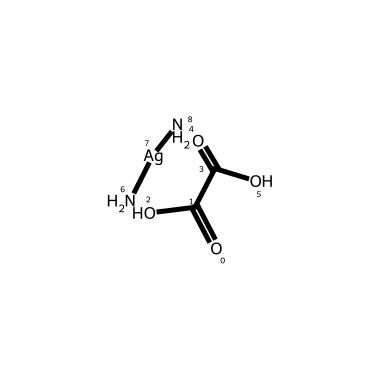 O=C(O)C(=O)O.[NH2][Ag][NH2]